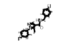 Cc1c(C(=O)NCc2ccc(Cl)cc2)cnn1-c1ccc(F)cc1